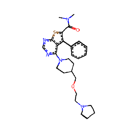 CN(C)C(=O)c1sc2ncnc(N3CCC(COCCN4CCCC4)CC3)c2c1-c1ccccc1